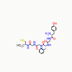 N[C@H](Cc1ccc(O)cc1)C(=O)NCC(=O)N[C@H](Cc1ccccc1)C(=O)NCC(=O)NCC(=O)N[C@H](CS)C(=O)O